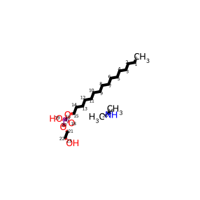 CCCCCCCCCCCCCCCCOP(=O)(O)OCCO.CNC